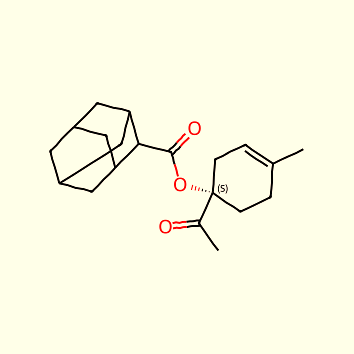 CC(=O)[C@@]1(OC(=O)C2C3CC4CC(C3)CC2C4)CC=C(C)CC1